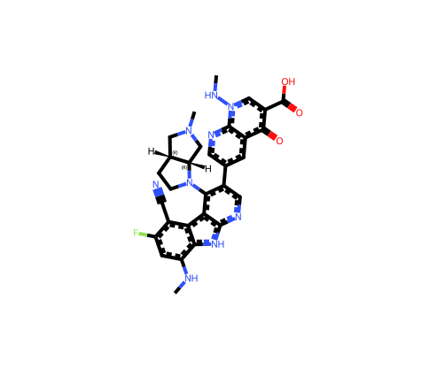 CNc1cc(F)c(C#N)c2c1[nH]c1ncc(-c3cnc4c(c3)c(=O)c(C(=O)O)cn4NC)c(N3CC[C@@H]4CN(C)C[C@@H]43)c12